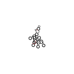 c1ccc(COC[C@H]2O[C@@H](c3cc(Cc4ccc5c(c4)CC5)c(C4CC4)cc3OCc3ccccc3)[C@H](OCc3ccccc3)[C@@H](OCc3ccccc3)[C@@H]2OCc2ccccc2)cc1